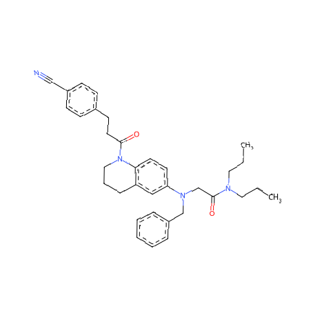 CCCN(CCC)C(=O)CN(Cc1ccccc1)c1ccc2c(c1)CCCN2C(=O)CCc1ccc(C#N)cc1